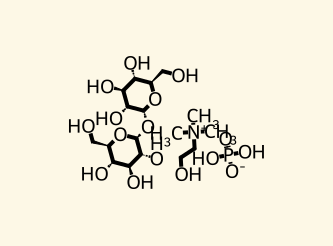 C[N+](C)(C)CCO.O=P([O-])(O)O.OC[C@H]1O[C@H](O[C@H]2O[C@H](CO)[C@@H](O)[C@H](O)[C@H]2O)[C@H](O)[C@@H](O)[C@@H]1O